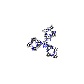 C1=c2cccc3c2=N/C1=C(/c1ccccc1)c1cc2cccc(c2[nH]1)-c1ccc2c(n1)-c1nc-3ccc1C1N=C(c3cc(C4=NC5c6ccc7nc6-c6nc(ccc6C5N4)-c4cccc5cc([nH]c45)C(c4ccccc4)C4C=c5cccc-7c5=N4)cc(C4=NC5c6ccc7nc6-c6nc(ccc6C5N4)-c4cccc5cc([nH]c45)C(c4ccccc4)C4C=c5cccc-7c5=N4)c3)NC21